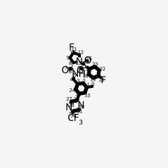 Cc1cc(CNC(=O)[C@@H]2C[C@@H](F)CN2S(=O)(=O)c2ccc(F)cc2)cc(-c2cnc(C(F)(F)F)cn2)c1